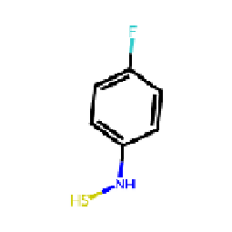 Fc1ccc(NS)cc1